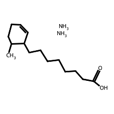 CC1CCC=CC1CCCCCCCC(=O)O.N.N